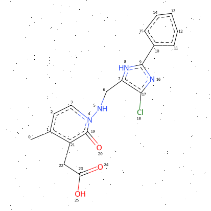 Cc1ccn(NCc2[nH]c(-c3ccccc3)nc2Cl)c(=O)c1CC(=O)O